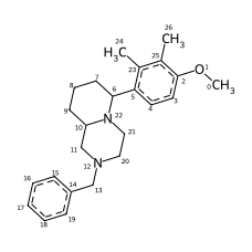 COc1ccc(C2CCCC3CN(Cc4ccccc4)CCN32)c(C)c1C